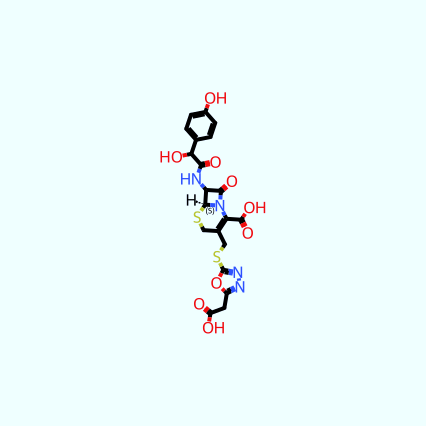 O=C(O)Cc1nnc(SCC2=C(C(=O)O)N3C(=O)C(NC(=O)C(O)c4ccc(O)cc4)[C@@H]3SC2)o1